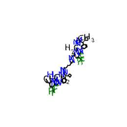 C=CC1=CN2C(=C)N(c3cccc(C(/C(N)=N/N=C\CCCC4CN(CC5=CN6C(=C)N(c7cccc(C(c8nncn8C)C8CCC8)c7)C=C6C(C(F)(F)F)=C5)C4)C4CCC4)c3)C=C2C(C(F)(F)F)=C1